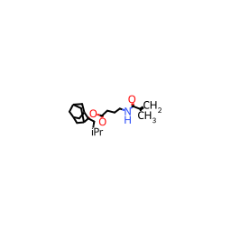 C=C(C)C(=O)NCCCC(=O)OC1(CC(C)C)C2CC3CC(C2)CC1C3